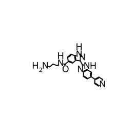 NCCCNC(=O)c1ccc2[nH]nc(-c3nc4ccc(-c5ccncc5)cc4[nH]3)c2c1